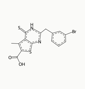 Cc1c(C(=O)O)sc2nc(Cc3cccc(Br)c3)[nH]c(=S)c12